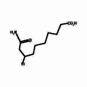 CCC(CCCCCCC(=O)O)CC(N)=O